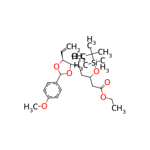 C=C[C@@H]1OC(c2ccc(OC)cc2)O[C@]1(C)CCC(CC(=O)OCC)O[Si](C)(C)C(C)(C)C